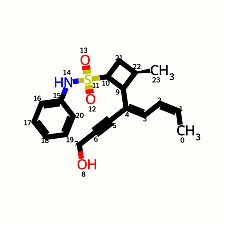 C/C=C\C=C(\C#CCO)C1C(S(=O)(=O)Nc2ccccc2)C[C@H]1C